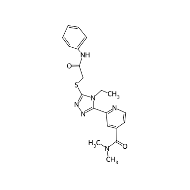 CCn1c(SCC(=O)Nc2ccccc2)nnc1-c1cc(C(=O)N(C)C)ccn1